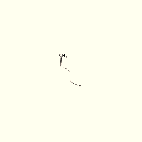 [CH2]CCCC=C